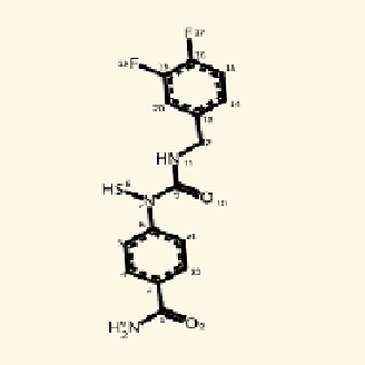 NC(=O)c1ccc(N(S)C(=O)NCc2ccc(F)c(F)c2)cc1